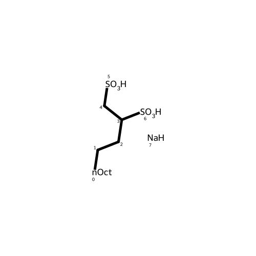 CCCCCCCCCCC(CS(=O)(=O)O)S(=O)(=O)O.[NaH]